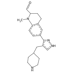 CN1c2ccc(-c3n[nH]cc3CC3CCNCC3)cc2CCC1C=O